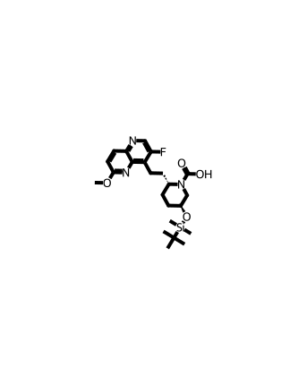 COc1ccc2ncc(F)c(CC[C@H]3CC[C@H](O[Si](C)(C)C(C)(C)C)CN3C(=O)O)c2n1